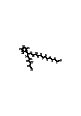 CCCCCCCCCCCCCC(CCCCCC)c1cccs1